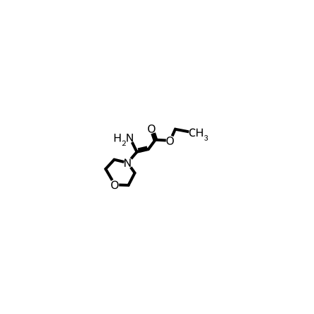 CCOC(=O)/C=C(\N)N1CCOCC1